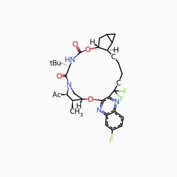 CC(=O)[C@@H]1[C@H](C)[C@@H]2CN1C(=O)[C@H](C(C)(C)C)NC(=O)O[C@@H]1CC3CC3[C@H]1CCCCC(F)(F)c1nc3ccc(F)cc3nc1O2